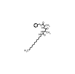 CCCCCCCCCCCCNC(=O)N[C@@H](C)C(=O)N[C@@H](C)C(=O)OCc1ccccc1